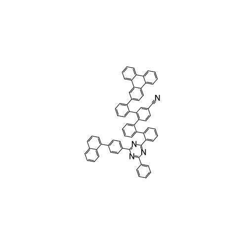 N#Cc1ccc(-c2ccccc2-c2ccccc2-c2nc(-c3ccccc3)nc(-c3ccc(-c4cccc5ccccc45)cc3)n2)c(-c2ccccc2-c2ccc3c4ccccc4c4ccccc4c3c2)c1